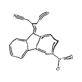 N#CC(C#N)=C1c2ccccc2-c2cc([N+](=O)[O-])ccc21